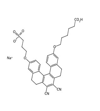 N#Cc1c(C#N)c2c(c3c1CCc1cc(OCCCCCC(=O)O)ccc1-3)-c1ccc(OCCCS(=O)(=O)[O-])cc1CC2.[Na+]